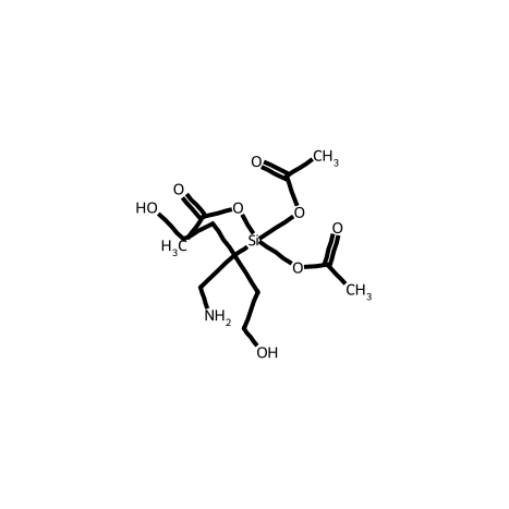 CC(=O)O[Si](OC(C)=O)(OC(C)=O)C(CN)(CCO)CCO